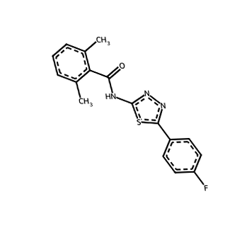 Cc1cccc(C)c1C(=O)Nc1nnc(-c2ccc(F)cc2)s1